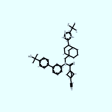 CC(C)(O)c1ccc(-c2cccc(N(CC34CCCC(C3)C(c3noc(C(C)(F)F)n3)CC4)C(=O)C34CC(C#N)(C3)C4)c2)cc1